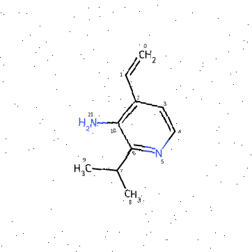 C=Cc1ccnc(C(C)C)c1N